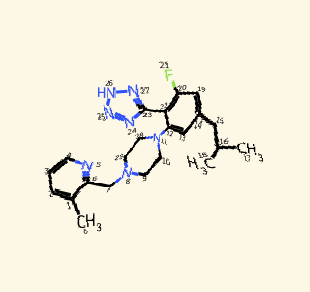 Cc1cccnc1CN1CCN(c2cc(CC(C)C)cc(F)c2-c2nn[nH]n2)CC1